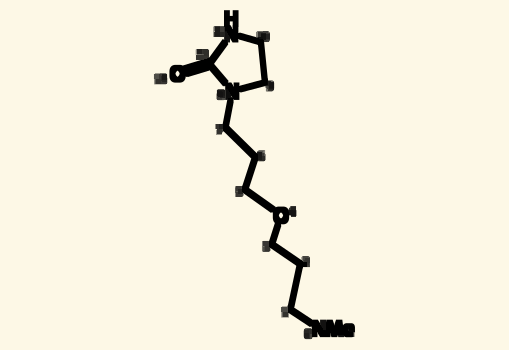 CNCCCOCCCN1CCNC1=O